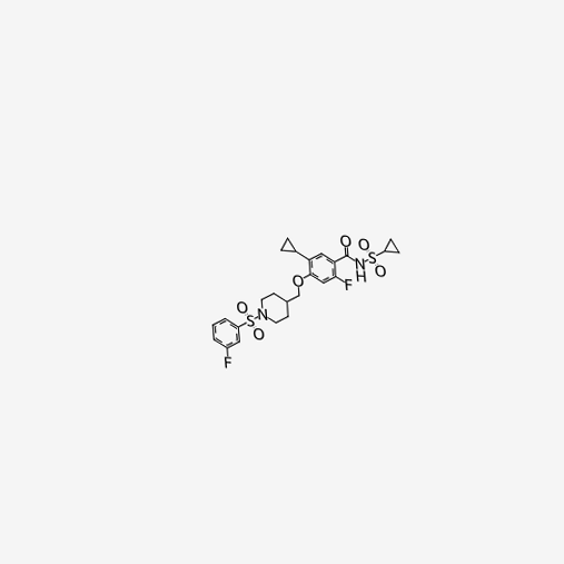 O=C(NS(=O)(=O)C1CC1)c1cc(C2CC2)c(OCC2CCN(S(=O)(=O)c3cccc(F)c3)CC2)cc1F